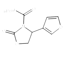 CCCCCC(=O)N1C(=O)OCC1c1ccoc1